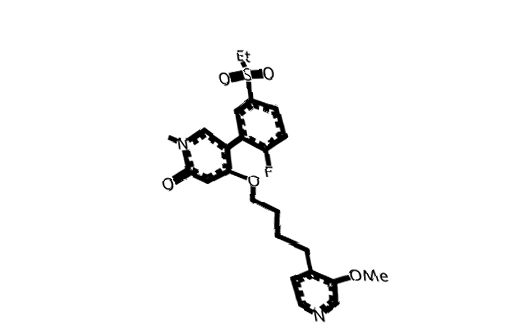 CCS(=O)(=O)c1ccc(F)c(-c2cn(C)c(=O)cc2OCCCCc2ccncc2OC)c1